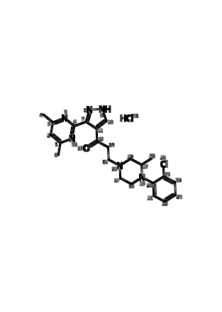 Cc1cc(C)nc(-c2n[nH]cc2C(=O)CCN2CCN(c3ccccc3Cl)C(C)C2)n1.Cl